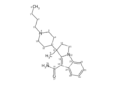 CCCCN1CCC(C2(C)CCn3c2c(C(N)=O)c2ccccc23)CC1